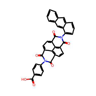 O=C(O)c1ccc(N2C(=O)c3ccc4c5c(ccc(c35)C2=O)C(=O)N(c2cccc3cc5ccccc5cc23)C4=O)cc1